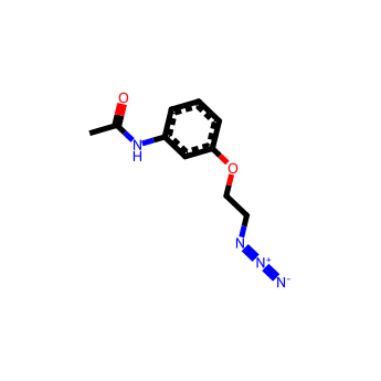 CC(=O)Nc1cccc(OCCN=[N+]=[N-])c1